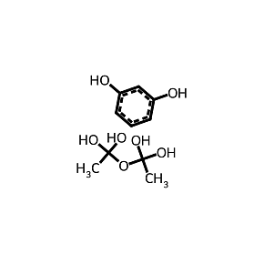 CC(O)(O)OC(C)(O)O.Oc1cccc(O)c1